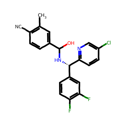 Cc1cc(C(O)N[C@@H](c2ccc(F)c(F)c2)c2ccc(Cl)cn2)ccc1C#N